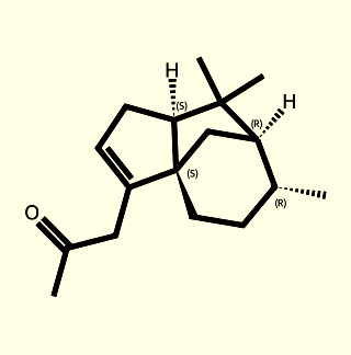 CC(=O)CC1=CC[C@H]2C(C)(C)[C@@H]3C[C@]12CC[C@H]3C